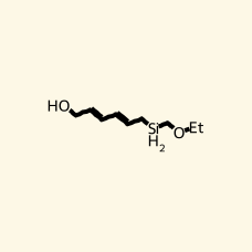 CCOC[SiH2]C/C=C/C=C/CO